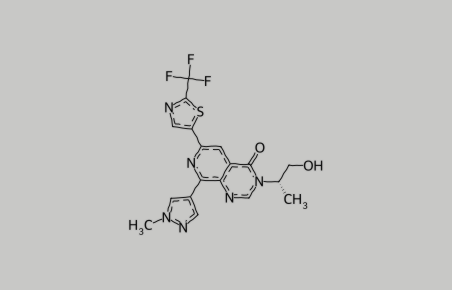 C[C@@H](CO)n1cnc2c(-c3cnn(C)c3)nc(-c3cnc(C(F)(F)F)s3)cc2c1=O